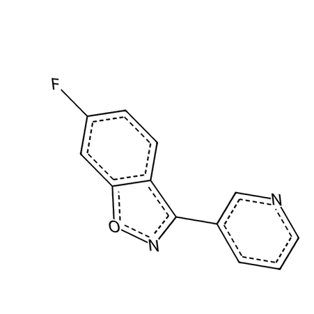 Fc1ccc2c(-c3cccnc3)noc2c1